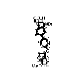 CCc1cn(CC(=O)O)c2ccc(-c3cnc(O[C@@H]4CO[C@H]5[C@@H]4OC[C@H]5OC)nc3)cc12